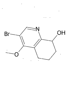 COc1c(Br)cnc2c1CCCC2O